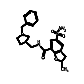 CC1Cc2cc(S(N)(=O)=O)cc(C(=O)NCC3CCN(Cc4ccccc4)C3)c2O1